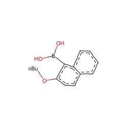 CCCCOc1ccc2ccccc2c1B(O)O